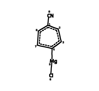 N#Cc1cc[c]([Mg][Cl])cc1